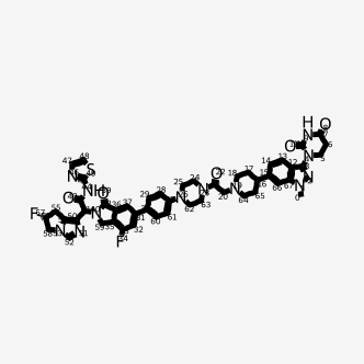 Cn1nc(N2CCC(=O)NC2=O)c2ccc(C3CCN(CC(=O)N4CCN(c5ccc(-c6cc(F)c7c(c6)C(=O)N(C(C(=O)Nc6nccs6)c6ncn8c6C[C@@H](F)C8)C7)cc5)CC4)CC3)cc21